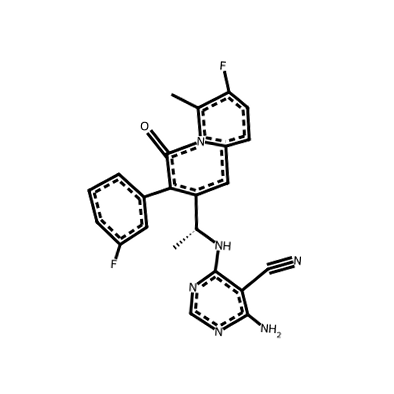 Cc1c(F)ccc2cc([C@@H](C)Nc3ncnc(N)c3C#N)c(-c3cccc(F)c3)c(=O)n12